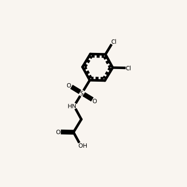 O=C(O)CNS(=O)(=O)c1ccc(Cl)c(Cl)c1